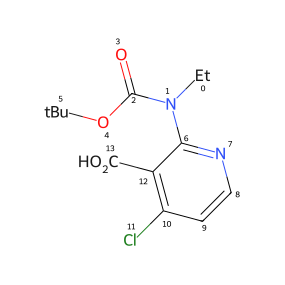 CCN(C(=O)OC(C)(C)C)c1nccc(Cl)c1C(=O)O